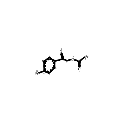 CC(C)C(=O)OCC(=O)c1ccc(C(C)C)cc1